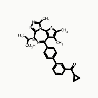 Cc1sc2c(c1C)C(c1ccc(-c3cccc(C(=O)C4CC4)c3)cc1)=N[C@@H](C(C)C(=O)O)c1nnc(C)n1-2